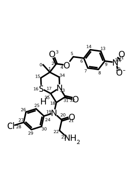 CC1(C(=O)OCc2ccc([N+](=O)[O-])cc2)CS[C@@H]2C(N(C(=O)CN)c3ccc(Cl)cc3)C(=O)N2C1